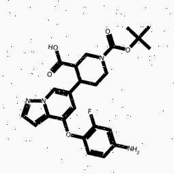 CC(C)(C)OC(=O)N1CCC(c2cc(Oc3ccc(N)cc3F)c3ccnn3c2)C(C(=O)O)C1